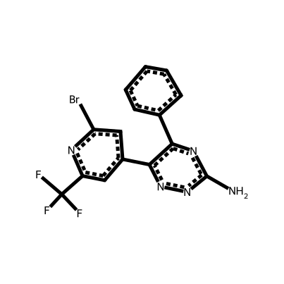 Nc1nnc(-c2cc(Br)nc(C(F)(F)F)c2)c(-c2ccccc2)n1